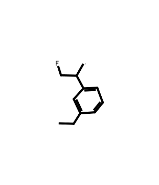 [CH2]C(CF)c1cccc(CC)c1